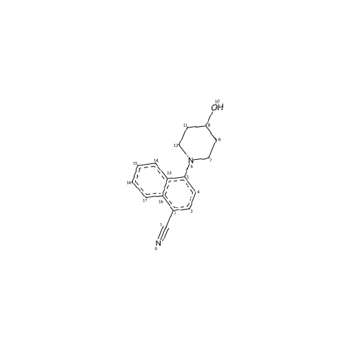 N#Cc1ccc(N2CCC(O)CC2)c2ccccc12